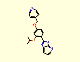 CC(C)Oc1cc(OCc2ccncc2)ccc1-c1nc2cccnc2[nH]1